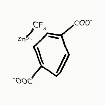 F[C](F)(F)[Zn+2].O=C([O-])c1ccc(C(=O)[O-])cc1